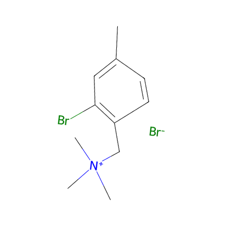 Cc1ccc(C[N+](C)(C)C)c(Br)c1.[Br-]